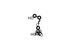 O=C(NO)C1(S(=O)(=O)c2ccc(OCCCc3cccc(-c4cccc(O)c4)c3)cc2)CCOCC1